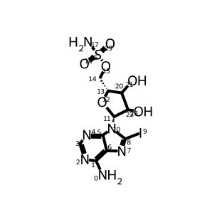 Nc1ncnc2c1nc(I)n2[C@@H]1O[C@H](COS(N)(=O)=O)C(O)C1O